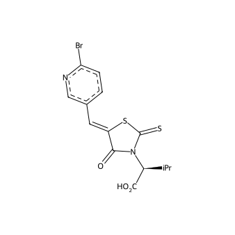 CC(C)[C@@H](C(=O)O)N1C(=O)/C(=C/c2ccc(Br)nc2)SC1=S